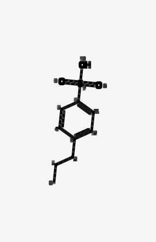 CCCc1ccc(S(=O)(=O)O)cc1